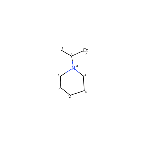 CCC(C)N1CC[CH]CC1